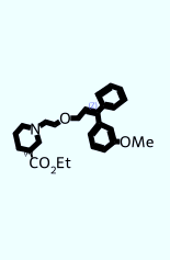 CCOC(=O)[C@@H]1CCCN(CCOC/C=C(/c2ccccc2)c2cccc(OC)c2)C1